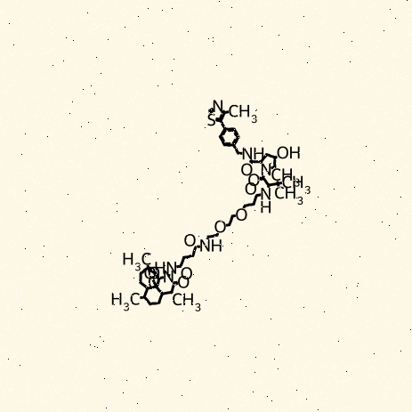 Cc1ncsc1-c1ccc(CNC(=O)C2CC(O)CN2C(=O)C(NC(=O)CCOCCOCCNC(=O)CCC(=O)NN2C(=O)C(C)C3CCC(C)C4CCC5(C)OOC43C2O5)C(C)(C)C)cc1